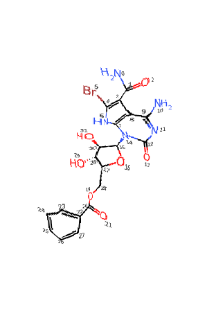 NC(=O)c1c(Br)[nH]c2c1c(N)nc(=O)n2[C@H]1O[C@@H](COC(=O)c2ccccc2)[C@H](O)[C@H]1O